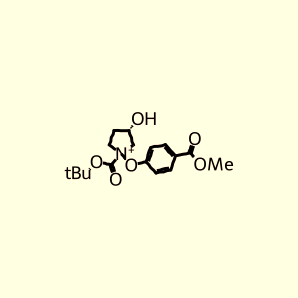 COC(=O)c1ccc(O[N+]2(C(=O)OC(C)(C)C)CC[C@H](O)C2)cc1